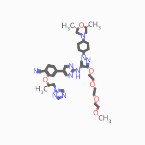 COCCOCCOCCOc1nn(C2CCC(N3C[C@@H](C)O[C@@H](C)C3)CC2)cc1Nc1ncc(-c2ccc(C#N)c(OC(C)Cn3cncn3)c2)cn1